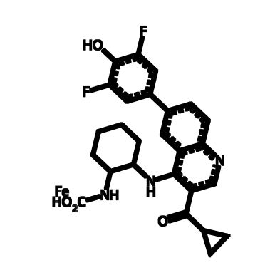 O=C(O)NC1CCCCC1Nc1c(C(=O)C2CC2)cnc2ccc(-c3cc(F)c(O)c(F)c3)cc12.[Fe]